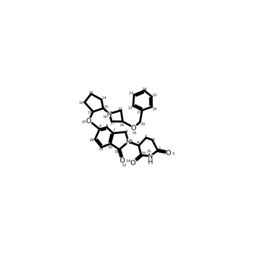 O=C1CCC(N2Cc3cc(OC4CCCC4N4CC(OCc5ccccc5)C4)ccc3C2=O)C(=O)N1